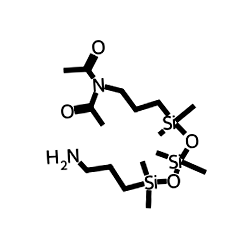 CC(=O)N(CCC[Si](C)(C)O[Si](C)(C)O[Si](C)(C)CCCN)C(C)=O